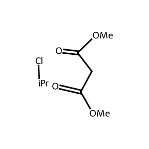 CC(C)Cl.COC(=O)CC(=O)OC